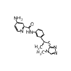 C[C@H](Sc1nncn1C)c1cccc(NC(=O)c2cc(N)ccn2)c1